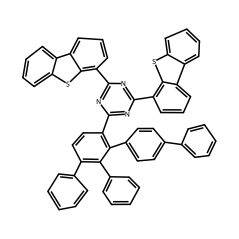 c1ccc(-c2ccc(-c3c(-c4nc(-c5cccc6c5sc5ccccc56)nc(-c5cccc6c5sc5ccccc56)n4)ccc(-c4ccccc4)c3-c3ccccc3)cc2)cc1